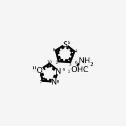 NC=O.c1ccsc1.c1nnco1